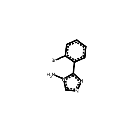 Nn1[c]nnc1-c1ccccc1Br